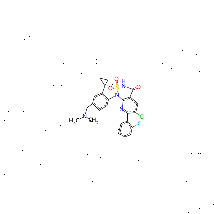 CN(C)Cc1ccc(N2c3nc(-c4ccccc4F)c(Cl)cc3C(=O)NS2(=O)=O)c(C2CC2)c1